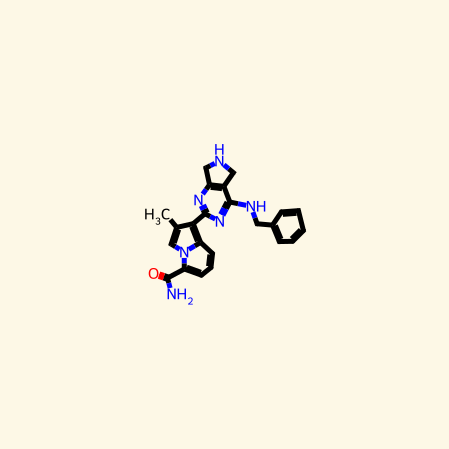 Cc1cn2c(C(N)=O)cccc2c1-c1nc2c(c(NCc3ccccc3)n1)CNC2